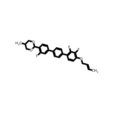 C/C=C/COc1ccc(-c2ccc(-c3ccc(C4OCC(C)CO4)c(F)c3)cc2)c(F)c1F